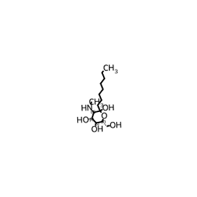 CCCCCCCCC1(O)O[C@H](CO)[C@@H](O)[C@H](O)[C@H]1NC